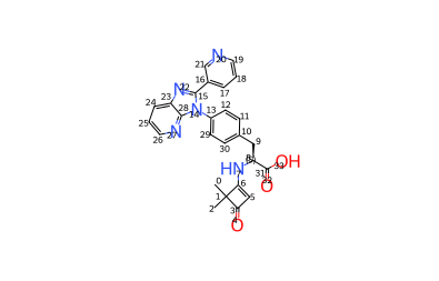 CC1(C)C(=O)C=C1N[C@@H](Cc1ccc(-n2c(-c3cccnc3)nc3cccnc32)cc1)C(=O)O